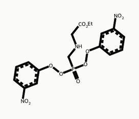 CCOC(=O)CNCP(=O)(OOc1cccc([N+](=O)[O-])c1)OOc1cccc([N+](=O)[O-])c1